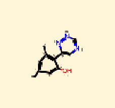 Cc1cc(C)c(-c2cncnn2)c(O)c1